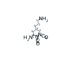 NCCCC(CN=C=O)CC(N)N=C=O